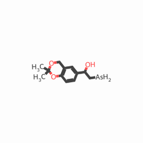 CC1(C)OCc2cc(C(O)C[AsH2])ccc2O1